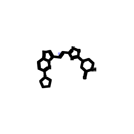 O=C1CN(c2nc(/C=C/c3cnc4ccc(N5CCCC5)nn34)no2)CCN1